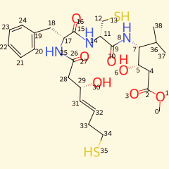 COC(=O)C[C@H](O)[C@H](NC(=O)[C@@H](CS)NC(=O)[C@@H](Cc1ccccc1)NC(=O)C[C@H](O)/C=C/CCS)C(C)C